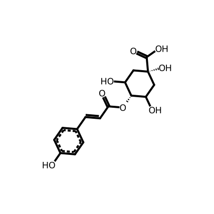 O=C(/C=C/c1ccc(O)cc1)O[C@H]1C(O)C[C@](O)(C(=O)O)CC1O